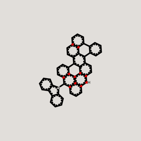 c1ccc(Nc2ccc3c(-c4ccccc4-c4ccccc4)c4ccccc4c(-c4ccccc4-c4ccccc4)c3c2-c2ccc(-n3c4ccccc4c4ccccc43)cc2)cc1